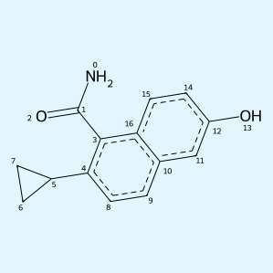 NC(=O)c1c(C2CC2)ccc2cc(O)ccc12